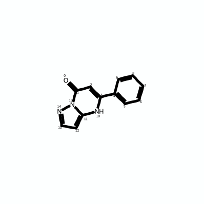 O=c1cc(-c2ccccc2)[nH]c2ccnn12